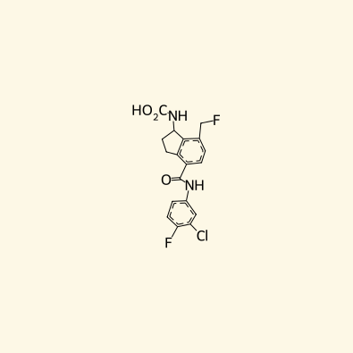 O=C(O)NC1CCc2c(C(=O)Nc3ccc(F)c(Cl)c3)ccc(CF)c21